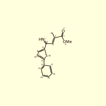 COC(=O)/C(C)=C/C(=N)c1cnc(-c2ccccc2)s1